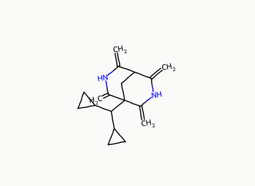 C=C1NC(=C)C2(C(C3CC3)C3CC3)CC1C(=C)NC2=C